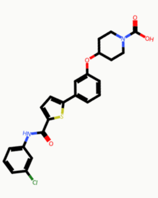 O=C(Nc1cccc(Cl)c1)c1ccc(-c2cccc(OC3CCN(C(=O)O)CC3)c2)s1